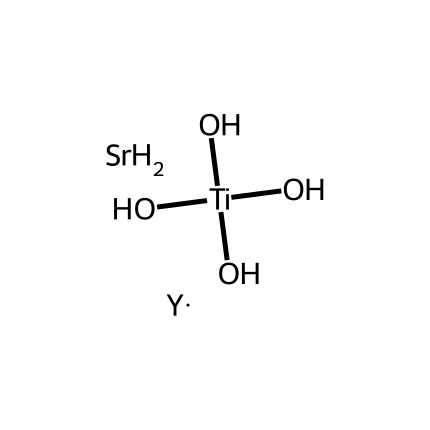 [OH][Ti]([OH])([OH])[OH].[SrH2].[Y]